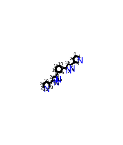 c1cncc(C2=NN=C(c3cccc(C4=NN=C(c5cccnc5)C4)c3)C2)c1